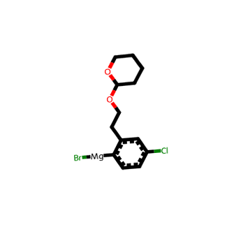 Clc1cc[c]([Mg][Br])c(CCOC2CCCCO2)c1